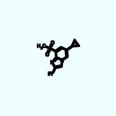 CC(C)c1cn2cc(C3CC3)cc(S(C)(=O)=O)c2n1